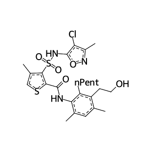 CCCCCc1c(CCO)c(C)cc(C)c1NC(=O)c1scc(C)c1S(=O)(=O)Nc1onc(C)c1Cl